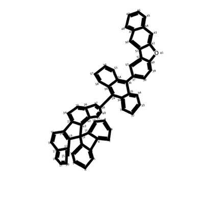 c1ccc2c(c1)-c1ccccc1C21c2c(ccc3ccccc23)-c2ccc3cc(-c4c5ccccc5c(-c5ccc6oc7cc8ccccc8cc7c6c5)c5ccccc45)ccc3c21